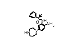 Nc1ccc(N2CCCNCC2)cc1NS(=O)(=O)c1ccccc1